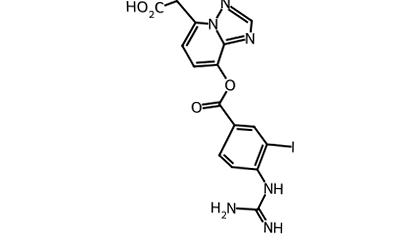 N=C(N)Nc1ccc(C(=O)Oc2ccc(CC(=O)O)n3ncnc23)cc1I